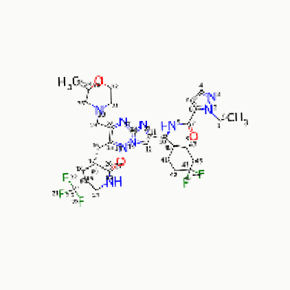 CCn1nccc1C(=O)N[C@H](c1cn2nc(C[C@H]3C[C@@H](C(F)(F)F)CNC3=O)c(CN3CCOC(C)C3)nc2n1)C1CCC(F)(F)CC1